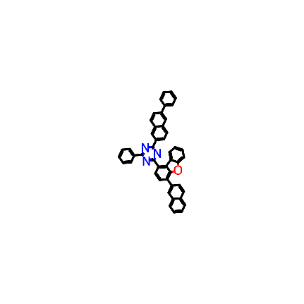 c1ccc(-c2ccc3cc(-c4nc(-c5ccccc5)nc(-c5ccc(-c6ccc7ccccc7c6)c6oc7ccccc7c56)n4)ccc3c2)cc1